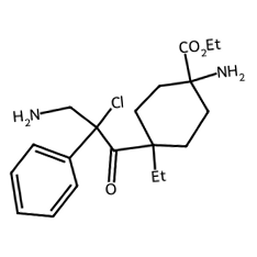 CCOC(=O)C1(N)CCC(CC)(C(=O)C(Cl)(CN)c2ccccc2)CC1